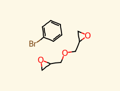 Brc1ccccc1.C(OCC1CO1)C1CO1